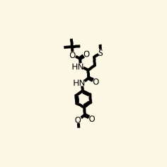 COC(=O)c1ccc(NC(=O)C(CCSC)NC(=O)OC(C)(C)C)cc1